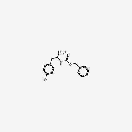 O=C(N[C@@H](Cc1ccc(Br)cc1)C(=O)O)OCc1ccccc1